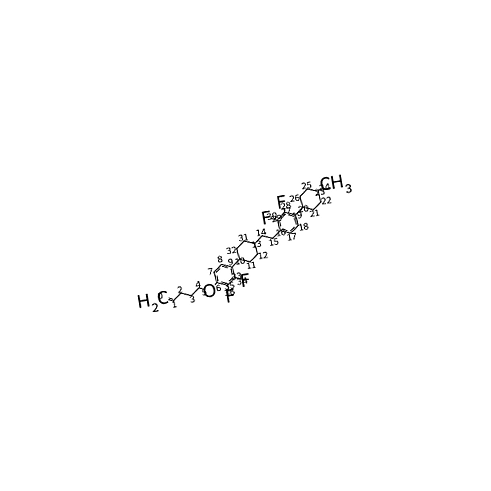 C=CCCCOc1ccc(C2CCC(CCc3ccc(C4CCC(C)CC4)c(F)c3F)CC2)c(F)c1F